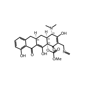 C=NCC1=C(O)[C@@H](N(C)C)[C@@H]2C[C@@H]3Cc4cccc(O)c4C(=O)C3=C(O)[C@]2(OC(=O)OC)C1=O